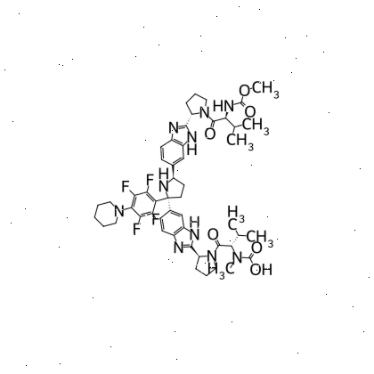 COC(=O)N[C@H](C(=O)N1CCC[C@H]1c1nc2ccc([C@H]3CC[C@@](c4ccc5nc([C@@H]6CCCN6C(=O)[C@H](C(C)C)N(C)C(=O)O)[nH]c5c4)(c4c(F)c(F)c(N5CCCCC5)c(F)c4F)N3)cc2[nH]1)C(C)C